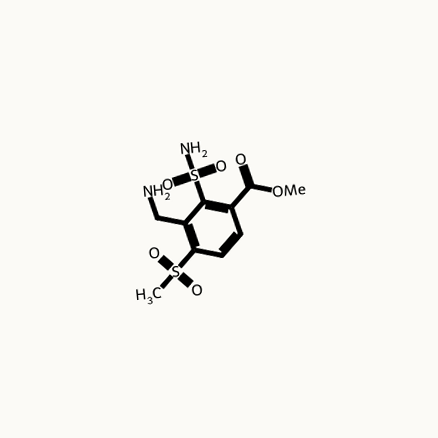 COC(=O)c1ccc(S(C)(=O)=O)c(CN)c1S(N)(=O)=O